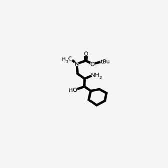 CN(CC(N)C(O)C1CCCCC1)C(=O)OC(C)(C)C